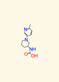 Cc1ccc(N2CCCC(NC(=O)O)C2)cn1